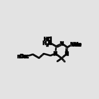 CCCCCCCCCCCCCCN1C(N)=NC(NC)=NC1(C)C.Cl